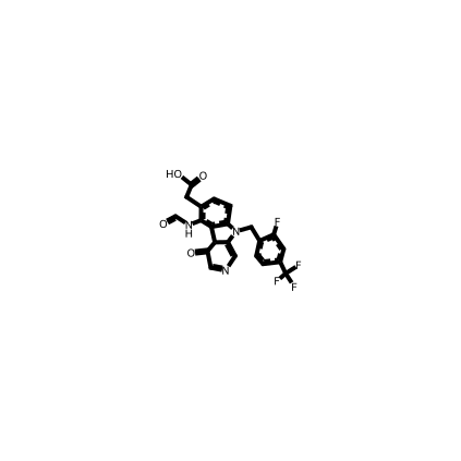 O=CNc1c(CC(=O)O)ccc2c1C1C(=O)C=NC=C1N2Cc1ccc(C(F)(F)F)cc1F